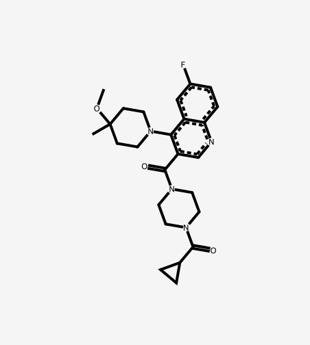 COC1(C)CCN(c2c(C(=O)N3CCN(C(=O)C4CC4)CC3)cnc3ccc(F)cc23)CC1